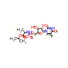 CC(C)OC(=O)[C@H](C)NP(=O)(O)OCC1OC(N2C=C(F)C(=O)NC2O)CC1O